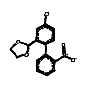 O=[N+]([O-])c1ccccc1-c1ccc(Cl)cc1C1OCCO1